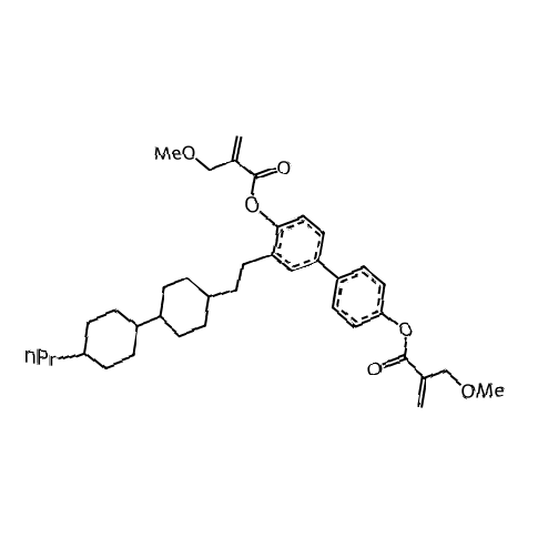 C=C(COC)C(=O)Oc1ccc(-c2ccc(OC(=O)C(=C)COC)c(CCC3CCC(C4CCC(CCC)CC4)CC3)c2)cc1